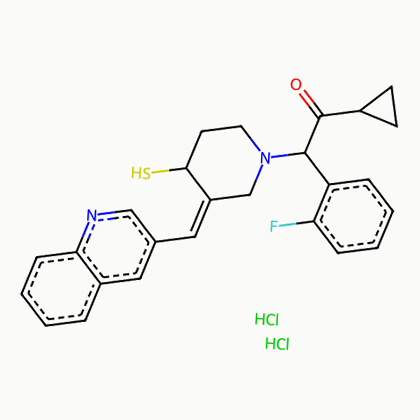 Cl.Cl.O=C(C1CC1)C(c1ccccc1F)N1CCC(S)/C(=C\c2cnc3ccccc3c2)C1